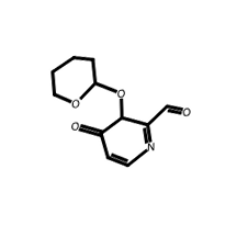 O=CC1=NC=CC(=O)C1OC1CCCCO1